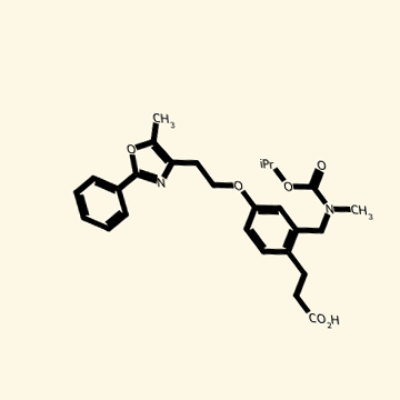 Cc1oc(-c2ccccc2)nc1CCOc1ccc(CCC(=O)O)c(CN(C)C(=O)OC(C)C)c1